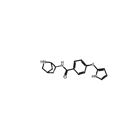 O=C(NC1CC2CNC1C2)c1ccc(Sc2ccc[nH]2)cc1